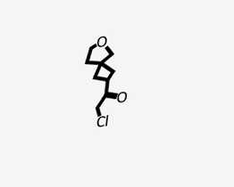 O=C(CCl)C1CC2(CCOC2)C1